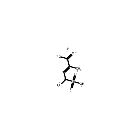 CC(=CC(C)S(=O)(=O)O)C(=O)[O-].[Li+]